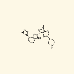 Cc1cn(-c2ccnc3[nH]c(-c4n[nH]c5ccc(C6C=CNCC6)nc45)cc23)cn1